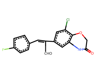 O=C/C(=C\c1ccc(F)cc1)c1cc(Cl)c2c(c1)NC(=O)CO2